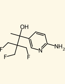 CC(O)(c1ccc(N)nc1)C(CF)(CF)CF